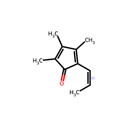 C/C=C\C1=C(C)C(C)=C(C)C1=O